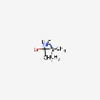 CC(N)(Br)[Si](C)(C)C